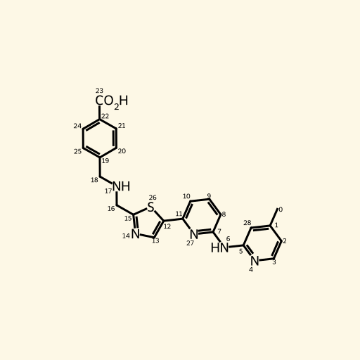 Cc1ccnc(Nc2cccc(-c3cnc(CNCc4ccc(C(=O)O)cc4)s3)n2)c1